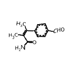 CC(C(N)=O)=C(C)c1ccc(C=O)cc1